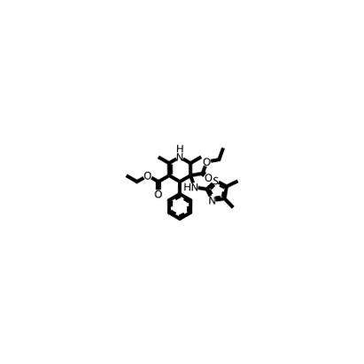 CCOC(=O)C1=C(C)NC(C)C(Nc2nc(C)c(C)s2)(C(=O)OCC)C1c1ccccc1